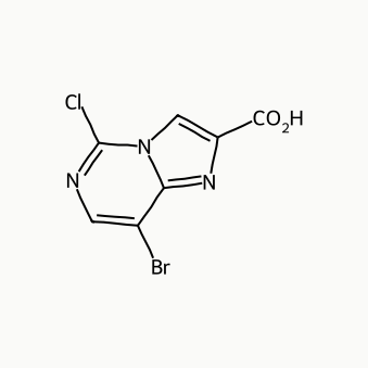 O=C(O)c1cn2c(Cl)ncc(Br)c2n1